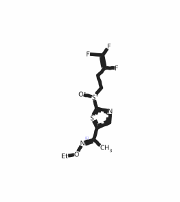 CCO/N=C(\C)c1cnc([S+]([O-])CCC(F)=C(F)F)s1